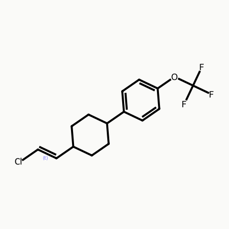 FC(F)(F)Oc1ccc(C2CCC(/C=C/Cl)CC2)cc1